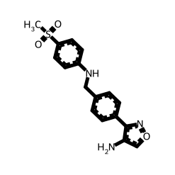 CS(=O)(=O)c1ccc(NCc2ccc(-c3nocc3N)cc2)cc1